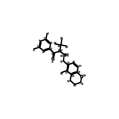 Cc1cc(C)cc(C(=O)N(NCc2ccc3c(c2C)CCCO3)C(C)(C)C)c1